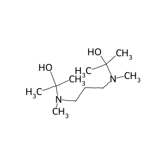 CN(CCCN(C)C(C)(C)O)C(C)(C)O